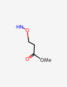 COC(=O)CCO[NH]